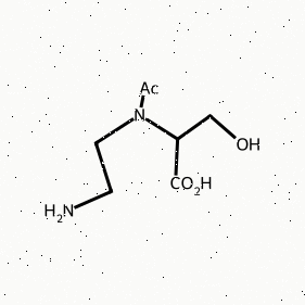 CC(=O)N(CCN)C(CO)C(=O)O